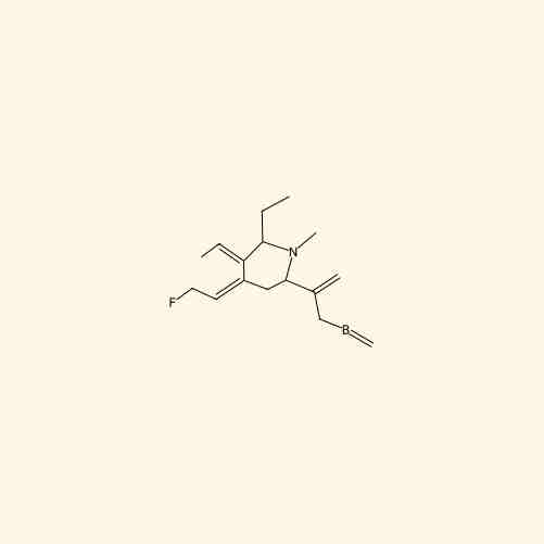 C=BCC(=C)C1CC(=C/CF)/C(=C\C)C(CC)N1C